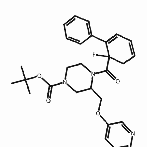 CC(C)(C)OC(=O)N1CCN(C(=O)C2(F)CC=CC=C2c2ccccc2)C(COc2cccnc2)C1